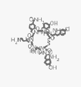 CC(C)C1NC(=O)[C@H](CCCCN)NC(=O)[C@@H](Cc2ccc(C(N)=O)cc2)NC(=O)[C@H](Cc2ccc(O)cc2)NC(=O)[C@H](NC(=O)[C@@H](N)Cc2ccc(Cl)cc2)CSSC[C@@H](C(=O)NC(Cc2ccc(O)cc2)C(N)=O)NC1=O